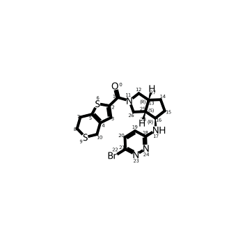 O=C(c1cc2c(s1)CCSC2)N1C[C@@H]2CC[C@@H](Nc3ccc(Br)nn3)[C@@H]2C1